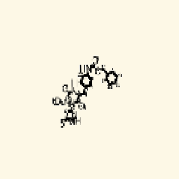 CC(C)(C)OC(=O)NC(Cc1ccc(NC(=O)OCc2ccccc2)cc1)C(=O)Nc1n[nH]c(=S)s1